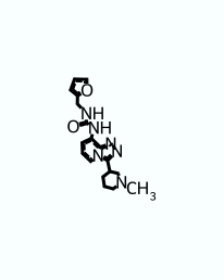 CN1CCCC(c2nnc3c(NC(=O)NCc4ccco4)cccn23)C1